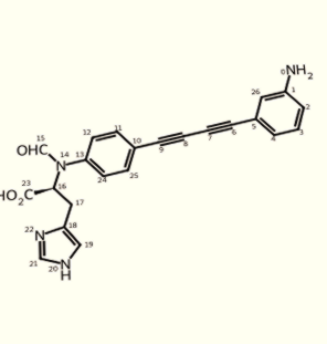 Nc1cccc(C#CC#Cc2ccc(N(C=O)[C@@H](Cc3c[nH]cn3)C(=O)O)cc2)c1